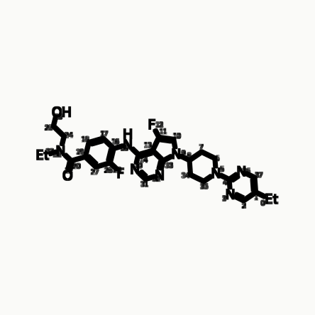 CCc1cnc(N2CCC(n3cc(F)c4c(Nc5ccc(C(=O)N(CC)CCO)cc5F)ncnc43)CC2)nc1